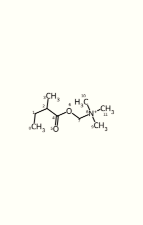 CCC(C)C(=O)OC[N+](C)(C)C